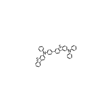 c1ccc(N(c2ccc(-c3ccc4c(c3)sc3ccc(N(c5ccccc5)c5ccccc5)cc34)cc2)c2ccc3c(c2)sc2ccccc23)cc1